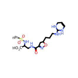 CCCS(=O)(=O)NC(CNC(=O)C1=NOC(CCCNC2NC=CCN2)C1)C(=O)O